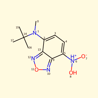 CN(c1ccc([NH+]([O-])O)c2nonc12)C(C)(C)C